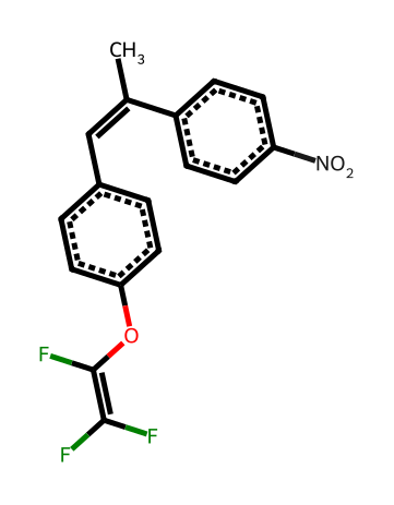 CC(=Cc1ccc(OC(F)=C(F)F)cc1)c1ccc([N+](=O)[O-])cc1